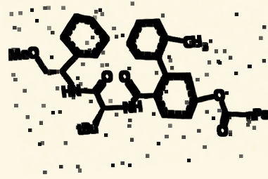 CCCCCC(=O)Oc1ccc(C(=O)N[C@H](C(=O)N[C@H](COC)c2ccccc2)C(C)(C)C)c(-c2ccccc2C)c1